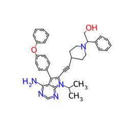 CC(C)n1c(C#CC2CCN(C(CO)c3ccccc3)CC2)c(-c2ccc(Oc3ccccc3)cc2)c2c(N)ncnc21